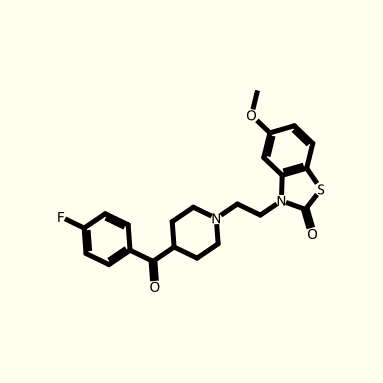 COc1ccc2sc(=O)n(CCN3CCC(C(=O)c4ccc(F)cc4)CC3)c2c1